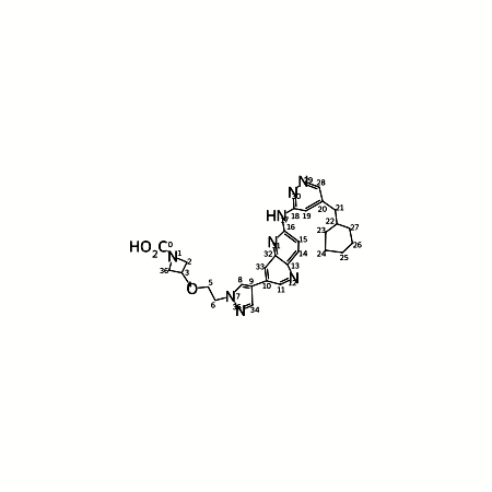 O=C(O)N1CC(OCCn2cc(-c3cnc4ccc(Nc5cc(CC6CCCCC6)cnn5)nc4c3)cn2)C1